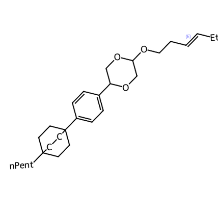 CC/C=C/CCOC1COC(c2ccc(C34CCC(CCCCC)(CC3)CC4)cc2)CO1